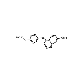 CCOC(=O)Cc1ncc(Oc2ccnc3cc(OC)ccc23)cn1